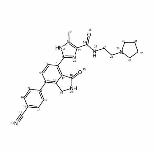 Cc1[nH]c(-c2ccc(-c3ccc(C#N)cc3)c3c2C(=O)NC3)nc1C(=O)NCCN1CCCC1